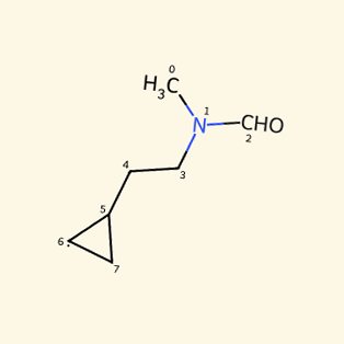 CN(C=O)CCC1[CH]C1